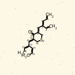 C=C/C=C(C=C)/C=C1\CSC\C(=C/C(/C=C\C)=C/C)C1=O